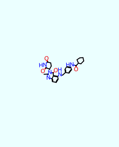 Cc1nc2cccc(NCc3ccc(NC(=O)C4CCCCC4)cc3)c2c(=O)n1C1CCC(=O)NC1=O